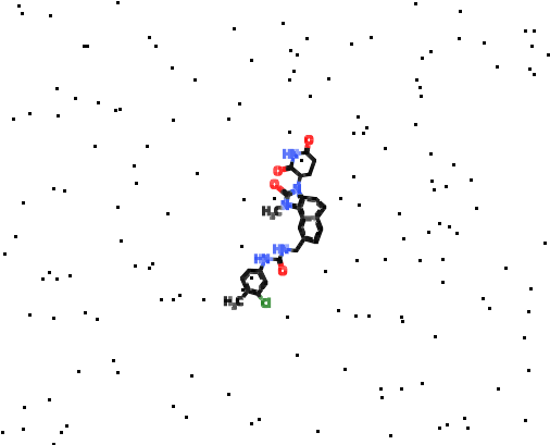 Cc1ccc(NC(=O)NCc2ccc3ccc4c(c3c2)n(C)c(=O)n4C2CCC(=O)NC2=O)cc1Cl